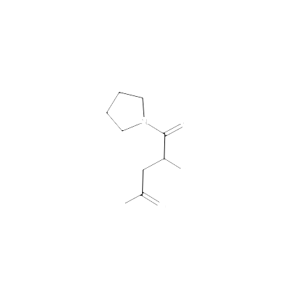 CC(=O)CC(C)C(=O)N1[CH]CCC1